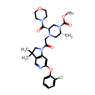 C[C@@H]1CN(CC(=O)N2CC(C)(C)c3cnc(Oc4ccccc4Cl)cc32)[C@@H](C(=O)N2CCOCC2)CN1C(=O)OC(C)(C)C